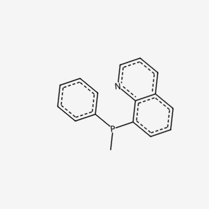 CP(c1ccccc1)c1cccc2cccnc12